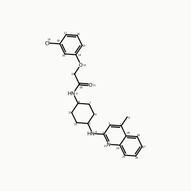 Cc1cc(NC2CCC(NC(=O)COc3cccc(Cl)c3)CC2)nc2ccccc12